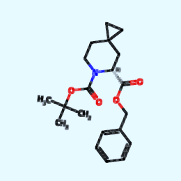 CC(C)(C)OC(=O)N1CCC2(CC2)C[C@@H]1C(=O)OCc1ccccc1